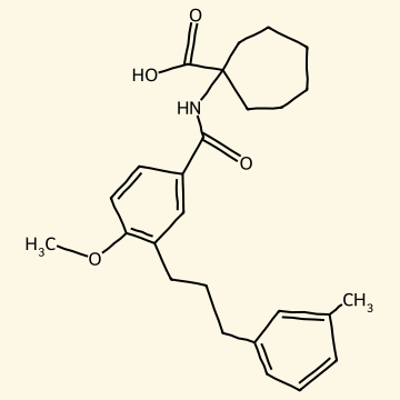 COc1ccc(C(=O)NC2(C(=O)O)CCCCCC2)cc1CCCc1cccc(C)c1